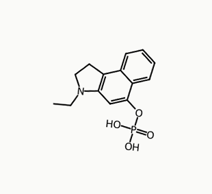 CCN1CCc2c1cc(OP(=O)(O)O)c1ccccc21